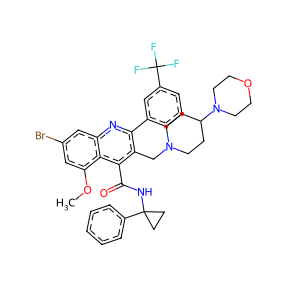 COc1cc(Br)cc2nc(-c3cccc(C(F)(F)F)c3)c(CN3CCC(N4CCOCC4)CC3)c(C(=O)NC3(c4ccccc4)CC3)c12